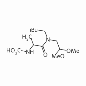 CCC(C)CN(CC(OC)OC)C(=O)C(C)NC(=O)O